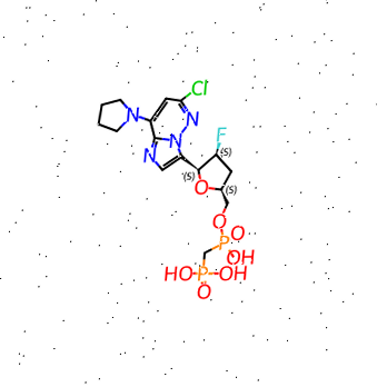 O=P(O)(O)CP(=O)(O)OC[C@@H]1C[C@H](F)[C@H](c2cnc3c(N4CCCC4)cc(Cl)nn23)O1